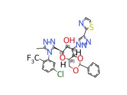 Cc1nnc([C@@H]2O[C@@H]3COC(c4ccccc4)O[C@@H]3[C@H](n3cc(-c4nccs4)nn3)[C@H]2O)n1-c1cc(Cl)ccc1C(F)(F)F